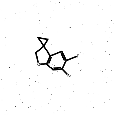 Fc1cc2c(cc1Br)OCC21CC1